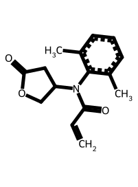 C=CC(=O)N(c1c(C)cccc1C)C1COC(=O)C1